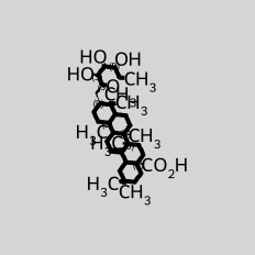 CC1O[C@@H](C[C@H]2CC[C@@]3(C)C(CC[C@]4(C)C3CC=C3C5CC(C)(C)CC[C@]5(C(=O)O)CC[C@]34C)C2(C)C)[C@@H](O)C(O)[C@H]1O